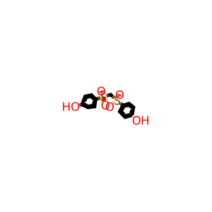 O=S(=O)(CS(=O)(=O)c1ccc(O)cc1)c1ccc(O)cc1